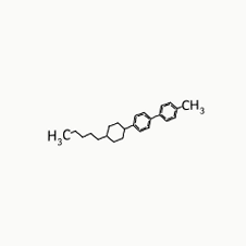 CCCCCC1CCC(c2ccc(-c3ccc(C)cc3)cc2)CC1